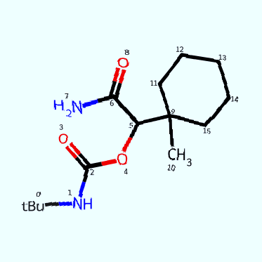 CC(C)(C)NC(=O)OC(C(N)=O)C1(C)CCCCC1